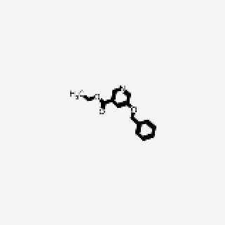 CCOC(=O)c1cncc(OCc2ccccc2)c1